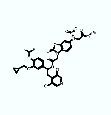 CC(C)(C)OC(=O)CN(c1ccc2c(c1)oc(=O)n2CC(=O)O[C@@H](Cc1c(Cl)cncc1Cl)c1ccc(OC(F)F)c(OCC2CC2)c1)[SH](=O)=O